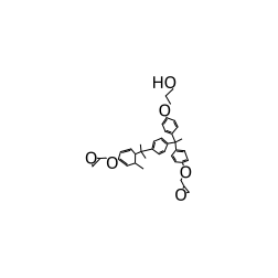 CC1C=C(OCC2CO2)C=CC1C(C)(C)c1ccc(C(C)(c2ccc(OCCCO)cc2)c2ccc(OCC3CO3)cc2)cc1